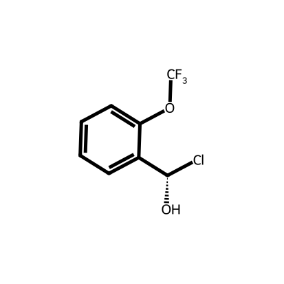 O[C@@H](Cl)c1ccccc1OC(F)(F)F